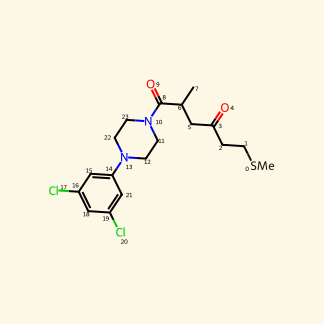 CSCCC(=O)CC(C)C(=O)N1CCN(c2cc(Cl)cc(Cl)c2)CC1